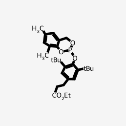 CCOC(=O)CCc1cc(C(C)(C)C)c(OP2OCc3cc(C)cc(C)c3O2)c(C(C)(C)C)c1